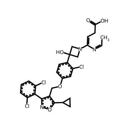 C/C=N\C(=C/CC(=O)O)N1CC(O)(c2ccc(OCc3c(-c4c(Cl)cccc4Cl)noc3C3CC3)cc2Cl)C1